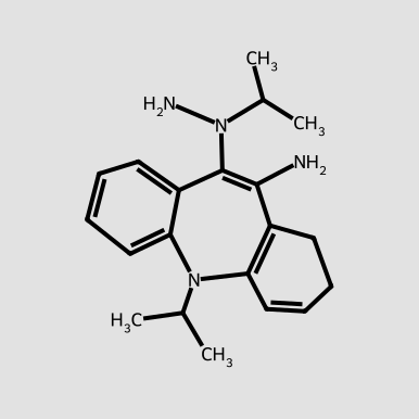 CC(C)N(N)C1=C(N)C2=C(C=CCC2)N(C(C)C)c2ccccc21